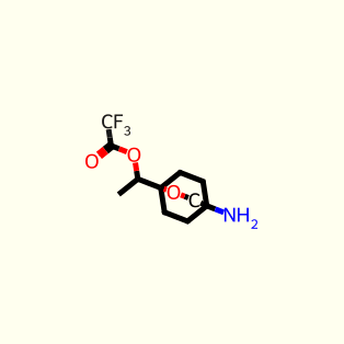 CC(OC(=O)C(F)(F)F)C12CCC(N)(CC1)CO2